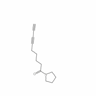 C#CC#CCCCCC(=O)N1CCCC1